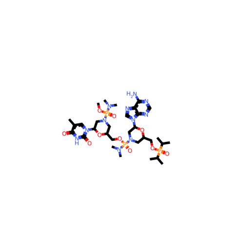 COP(=O)(N(C)C)N1CC(COP(=O)(N(C)C)N2CC(COP(=O)(C(C)C)C(C)C)OC(n3cnc4c(N)ncnc43)C2)OC(n2cc(C)c(=O)[nH]c2=O)C1